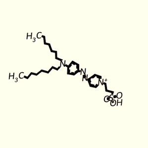 CCCCCCCCN(CCCCCCCC)c1ccc(/N=N/c2cc[n+](CCCS(=O)(=O)O)cc2)cc1